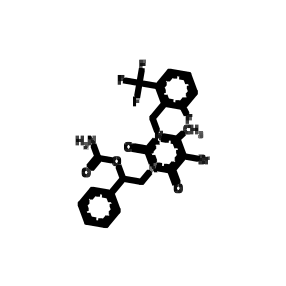 Cc1c(Br)c(=O)n(CC(OC(N)=O)c2ccccc2)c(=O)n1Cc1c(F)cccc1C(F)(F)F